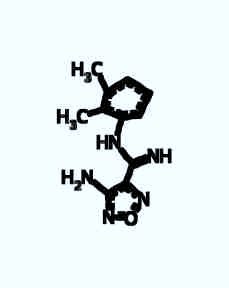 Cc1cccc(NC(=N)c2nonc2N)c1C